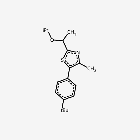 Cc1nc(C(C)OC(C)C)sc1-c1ccc(C(C)(C)C)cc1